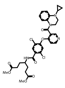 COC(=O)CCC(CCC(=O)OC)NC(=O)c1cc(Cl)c(Oc2ccncc2C(=O)N2CCN(C3CC3)c3ccccc32)cc1Cl